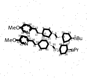 CCCC[C@H]1CC[C@H](CC[C@H]2CC[C@H](CCc3ccc(OC)cn3)CC2)CC1.CCC[C@H]1CC[C@H](CC[C@H]2CC[C@H](CCc3ccc(OC)cn3)CC2)CC1